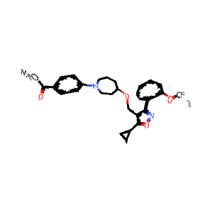 COC(=O)c1ccc(N2CCCC(OCc3c(-c4ccccc4OC(F)(F)F)noc3C3CC3)CC2)cc1